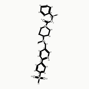 C[C@@H](OC(=O)N1CCC(N(C)Cc2ccc(-c3ccc(S(C)(=O)=O)cc3)nc2)CC1)c1ccccc1